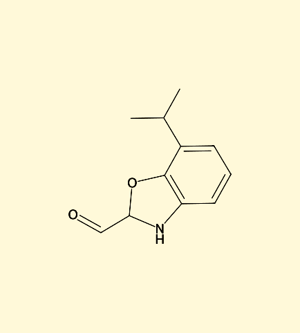 CC(C)c1cccc2c1OC(C=O)N2